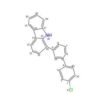 Clc1ccc(-c2cccc(-c3cccc4c3[nH]c3ccccc34)c2)cc1